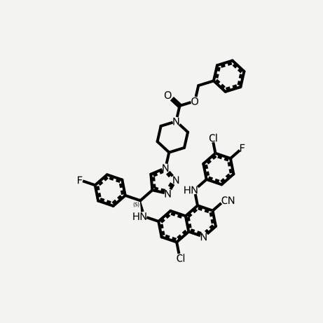 N#Cc1cnc2c(Cl)cc(N[C@@H](c3ccc(F)cc3)c3cn(C4CCN(C(=O)OCc5ccccc5)CC4)nn3)cc2c1Nc1ccc(F)c(Cl)c1